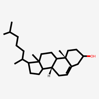 CC(C)CCCC(C)C1CCC2[C@H]3CC=C4CC(O)CC[C@@]4(C)C3CCC12C